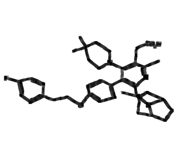 Cc1nc(CN2C3CCC2CN(C)C3)c(-c2ccc(OCCc3ccc(F)cc3)cc2)c(N2CCC(C)(C)CC2)c1CC(=O)O